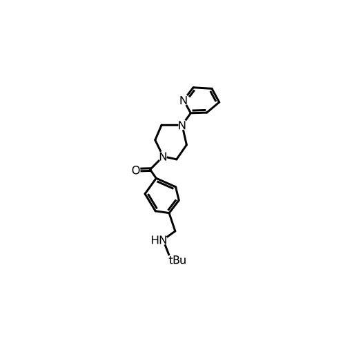 CC(C)(C)NCc1ccc(C(=O)N2CCN(c3ccccn3)CC2)cc1